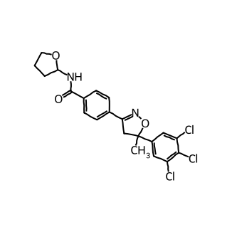 CC1(c2cc(Cl)c(Cl)c(Cl)c2)CC(c2ccc(C(=O)NC3CCCO3)cc2)=NO1